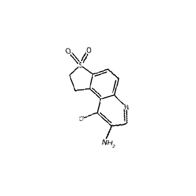 Nc1cnc2ccc3c(c2c1Cl)CCS3(=O)=O